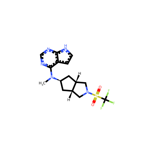 CN(c1ncnc2[nH]ccc12)[C@H]1C[C@@H]2CN(S(=O)(=O)C(F)(F)F)C[C@@H]2C1